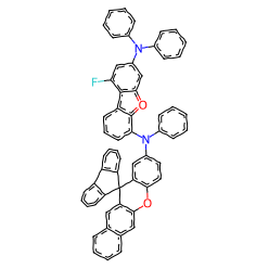 Fc1cc(N(c2ccccc2)c2ccccc2)cc2oc3c(N(c4ccccc4)c4ccc5c(c4)C4(c6cc7ccccc7cc6O5)c5ccccc5-c5ccccc54)cccc3c12